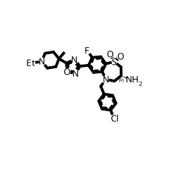 CCN1CCC(C)(c2nc(-c3cc4c(cc3F)S(=O)(=O)C[C@H](N)CN4Cc3ccc(Cl)cc3)no2)CC1